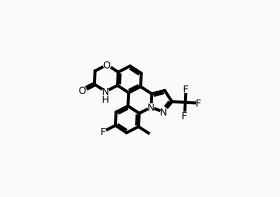 Cc1cc(F)cc2c3c4c(ccc3c3cc(C(F)(F)F)nn3c12)OCC(=O)N4